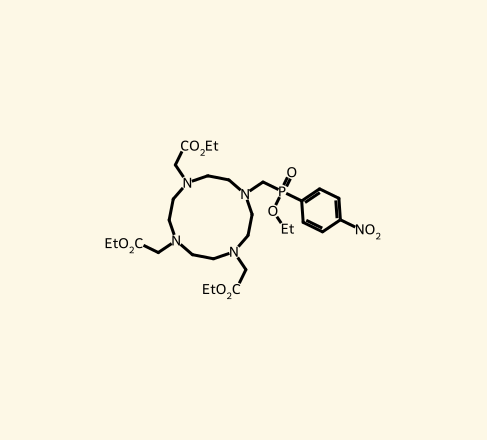 CCOC(=O)CN1CCN(CC(=O)OCC)CCN(CP(=O)(OCC)c2ccc([N+](=O)[O-])cc2)CCN(CC(=O)OCC)CC1